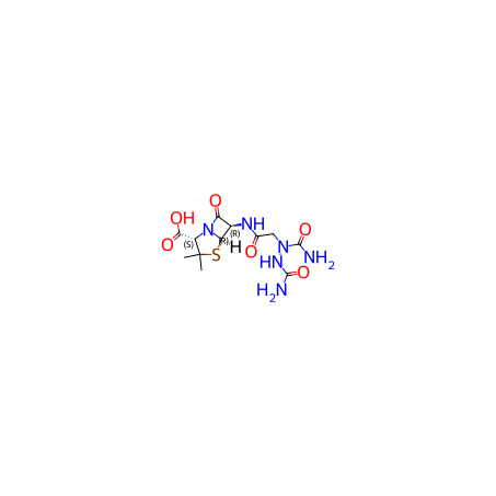 CC1(C)S[C@@H]2[C@H](NC(=O)CN(NC(N)=O)C(N)=O)C(=O)N2[C@H]1C(=O)O